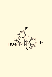 O=S(=O)(NO)c1ccc(F)c(F)c1Nc1ccc(I)cc1Cl